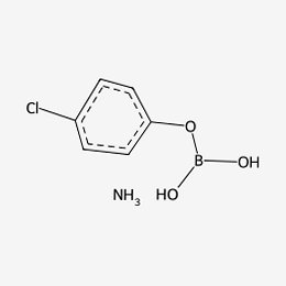 N.OB(O)Oc1ccc(Cl)cc1